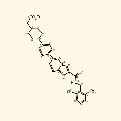 CCOC(=O)CC1CCC(c2ccc(-c3ccc4nc(C(=O)NCc5c(Cl)cccc5C(F)(F)F)cn4c3)cc2)CC1